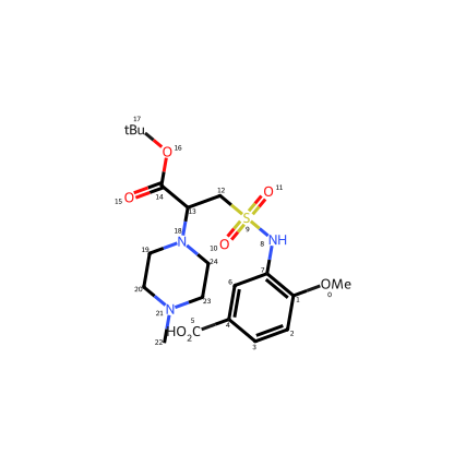 COc1ccc(C(=O)O)cc1NS(=O)(=O)CC(C(=O)OC(C)(C)C)N1CCN(C)CC1